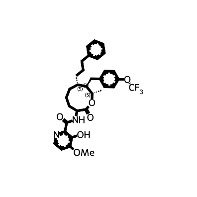 COc1ccnc(C(=O)NC2CCC[C@H](CCCc3ccccc3)[C@@H](Cc3ccc(OC(F)(F)F)cc3)[C@H](C)OC2=O)c1O